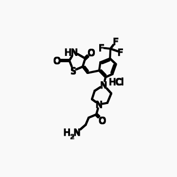 Cl.NCCC(=O)N1CCN(c2ccc(C(F)(F)F)cc2C=C2SC(=O)NC2=O)CC1